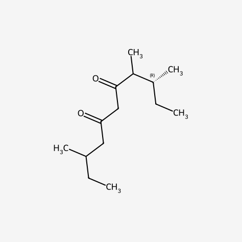 CCC(C)CC(=O)CC(=O)C(C)[C@H](C)CC